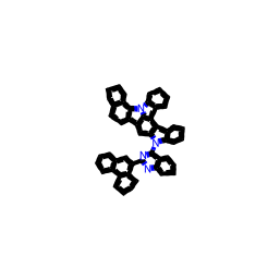 c1ccc2c(c1)cc(-c1nc(-n3c4ccccc4c4c5c6ccccc6n6c7c8ccccc8ccc7c(cc43)c56)c3ccccc3n1)c1ccccc12